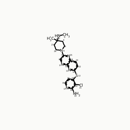 CNC1(C)CCN(c2cnc3nc(Sc4ccnc(N)c4Cl)ccc3n2)CC1